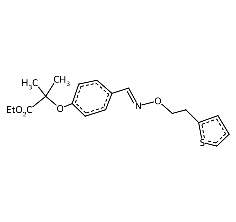 CCOC(=O)C(C)(C)Oc1ccc(C=NOCCc2cccs2)cc1